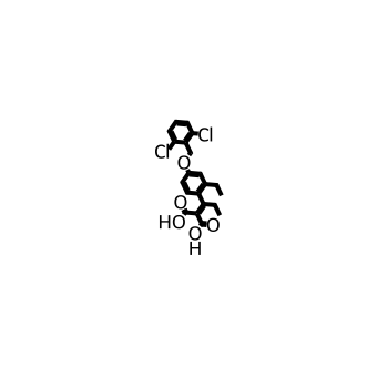 CCC(=C(C(=O)O)C(=O)O)c1ccc(OCc2c(Cl)cccc2Cl)cc1CC